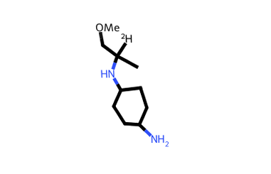 [2H]C(C)(COC)NC1CCC(N)CC1